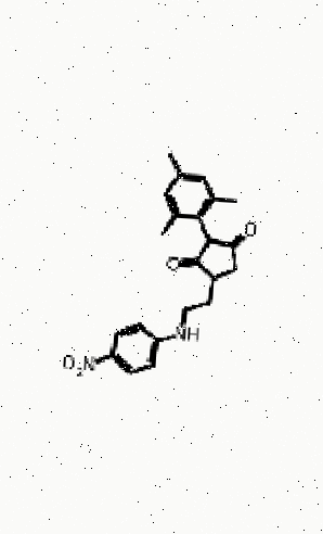 Cc1cc(C)c(C2C(=O)CC(CCNc3ccc([N+](=O)[O-])cc3)C2=O)c(C)c1